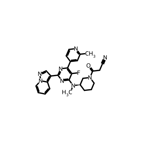 Cc1cc(-c2nc(-c3cnn4ccccc34)nc(N(C)[C@@H]3CCCN(C(=O)CC#N)C3)c2F)ccn1